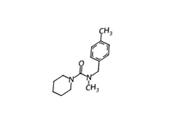 Cc1ccc(CN(C)C(=O)N2CCCCC2)cc1